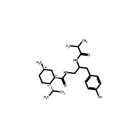 CC(N)C(=O)NC(CNC(=O)[C@@H]1C[C@H](C)CC[C@H]1C(C)C)Cc1ccc(O)cc1